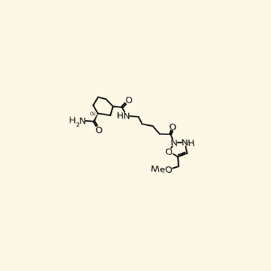 COCC1=CNN(C(=O)CCCCNC(=O)C2CCC[C@H](C(N)=O)C2)O1